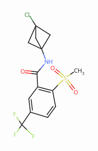 CS(=O)(=O)c1ccc(C(F)(F)F)cc1C(=O)NC12CC(Cl)(C1)C2